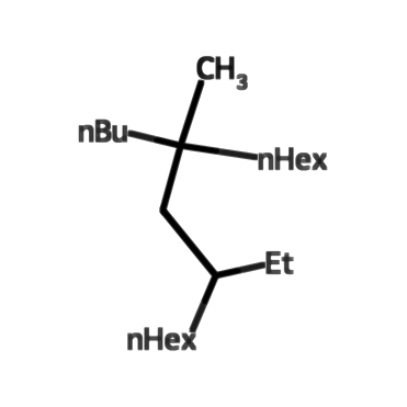 CCCCCCC(CC)CC(C)(CCCC)CCCCCC